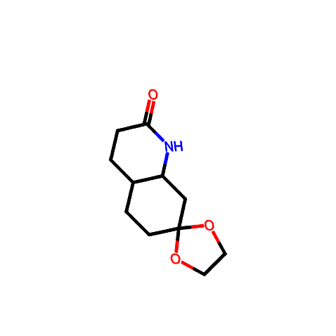 O=C1CCC2CCC3(CC2N1)OCCO3